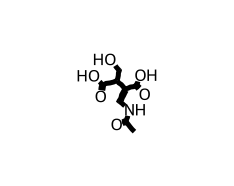 CC(=O)NC=C(C(=O)O)C(CO)C(=O)O